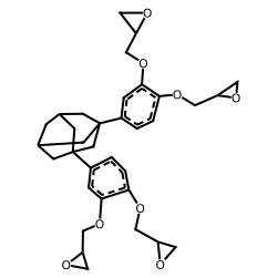 c1cc(OCC2CO2)c(OCC2CO2)cc1C12CC3CC(C1)CC(c1ccc(OCC4CO4)c(OCC4CO4)c1)(C3)C2